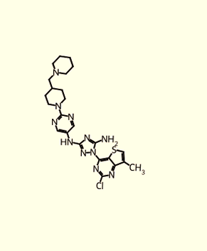 Cc1csc2c(-n3nc(Nc4cnc(N5CCC(CN6CCCCC6)CC5)nc4)nc3N)nc(Cl)nc12